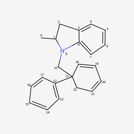 CC1Cc2ccccc2N1CC1(c2ccccc2)C=CC=CC1